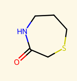 O=C1CSCCCN1